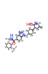 CC(C)c1cccc(C(C)NC(=O)c2ccc3c(c2)ncn3Cc2ccc(-c3cc(F)cnc3O)cc2)c1